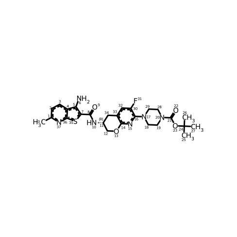 Cc1ccc2c(N)c(C(=O)N[C@H]3COc4nc(N5CCN(C(=O)OC(C)(C)C)CC5)c(F)cc4C3)sc2n1